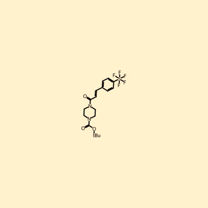 CC(C)(C)OC(=O)N1CCN(C(=O)C=Cc2ccc(S(F)(F)(F)(F)F)cc2)CC1